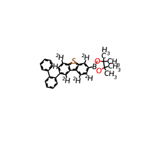 [2H]c1c(-c2ccccc2-c2ccccc2)c([2H])c2c(sc3c([2H])c(B4OC(C)(C)C(C)(C)O4)c([2H])c([2H])c32)c1[2H]